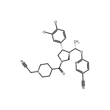 C[C@H](Oc1ccc(C#N)cn1)[C@H]1CN(C(=O)C2CCN(CC#N)CC2)C[C@@H]1c1ccc(Cl)c(Cl)c1